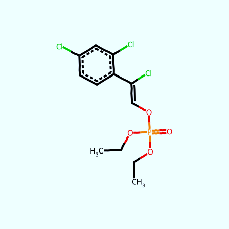 CCOP(=O)(OC=C(Cl)c1ccc(Cl)cc1Cl)OCC